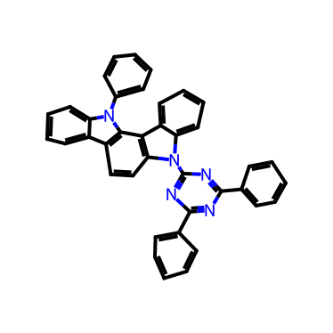 c1ccc(-c2nc(-c3ccccc3)nc(-n3c4ccccc4c4c3ccc3c5ccccc5n(-c5ccccc5)c34)n2)cc1